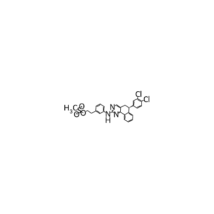 CS(=O)(=O)OCCc1cccc(Nc2ncc3c(n2)-c2ccccc2[C@H](c2ccc(Cl)c(Cl)c2)C3)c1